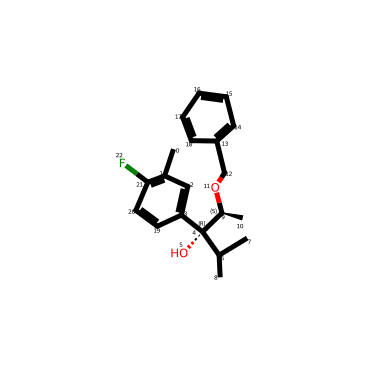 Cc1cc([C@](O)(C(C)C)[C@H](C)OCc2ccccc2)ccc1F